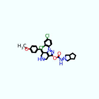 COc1ccc(/C=C2\CNCc3c(OC(=O)NN4CC5CCCC5C4)nn(-c4ccc(Cl)cc4Cl)c32)cc1